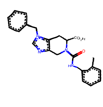 Cc1ccccc1NC(=O)N1Cc2ncn(Cc3ccccc3)c2CC1C(=O)O